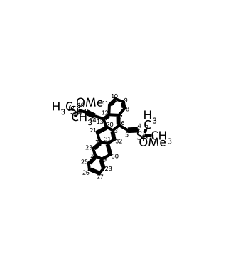 CO[Si](C)(C)C#Cc1c2ccccc2c(C#C[Si](C)(C)OC)c2cc3cc4ccccc4cc3cc12